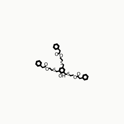 O=C(Cc1ccccc1)OCCSCc1cc(CSCCOC(=O)Cc2ccccc2)c(O)c(CSCCOC(=O)Cc2ccccc2)c1